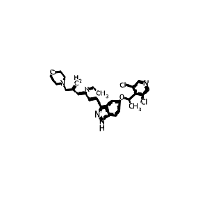 C=C(/C=C(/C=C/c1n[nH]c2ccc(OC(C)c3c(Cl)cncc3Cl)cc12)\N=C/C)CN1CCOCC1